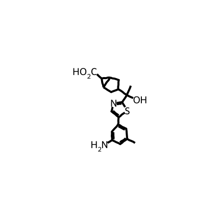 Cc1cc(N)cc(-c2cnc(C(C)(O)C3CC4C(C3)C4C(=O)O)s2)c1